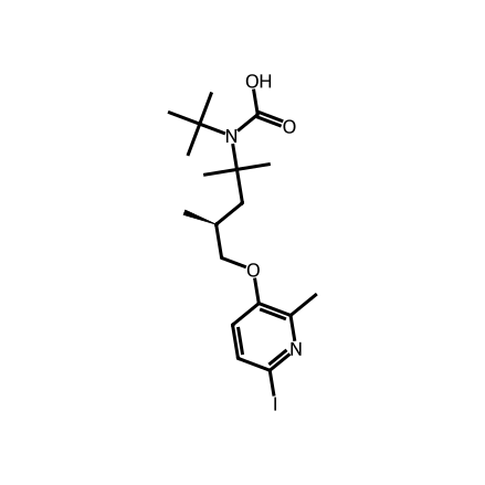 Cc1nc(I)ccc1OC[C@@H](C)CC(C)(C)N(C(=O)O)C(C)(C)C